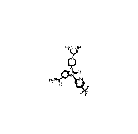 NC(=O)c1ccc2c(c1)n(-c1ccc(C(F)(F)F)cn1)c(=O)n2C1CCN(C(CO)CO)CC1